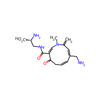 C=C1/C=C(CN)\C=C/CC(=O)/C(C(=O)NC[C@H](N)C(=O)O)=C\N1C